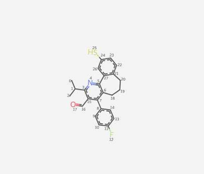 CC(C)c1nc2c(c(-c3ccc(F)cc3)c1C=O)CCCc1ccc(S)cc1-2